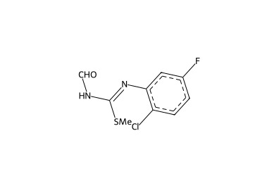 CS/C(=N\c1cc(F)ccc1Cl)NC=O